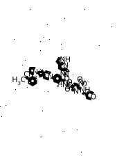 CC(C)c1ccccc1[C@@H]1CCCN1C1CC2(CCN(c3ccc(C(=O)NS(=O)(=O)c4cnc(NCC5CCOCC5)c([N+](=O)[O-])c4)c(-n4ncc5nc6[nH]ccc6cc54)c3)CC2)C1